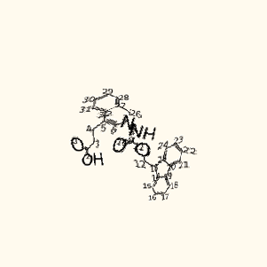 O=C(O)CCC1=CN(NC(=O)OCC2c3ccccc3-c3ccccc32)Cc2ccccc21